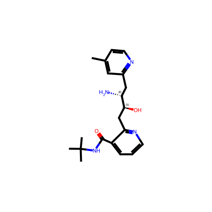 Cc1ccnc(C[C@@H](N)[C@@H](O)Cc2ncccc2C(=O)NC(C)(C)C)c1